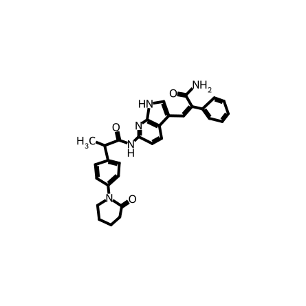 CC(C(=O)Nc1ccc2c(C=C(C(N)=O)c3ccccc3)c[nH]c2n1)c1ccc(N2CCCCC2=O)cc1